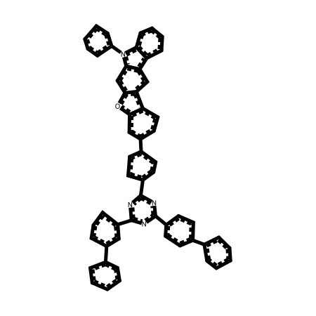 c1ccc(-c2ccc(-c3nc(-c4ccc(-c5ccc6c(c5)oc5cc7c(cc56)c5ccccc5n7-c5ccccc5)cc4)nc(-c4cccc(-c5ccccc5)c4)n3)cc2)cc1